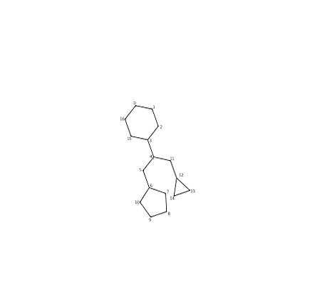 C1CCC([C](CC2CCCC2)CC2CC2)CC1